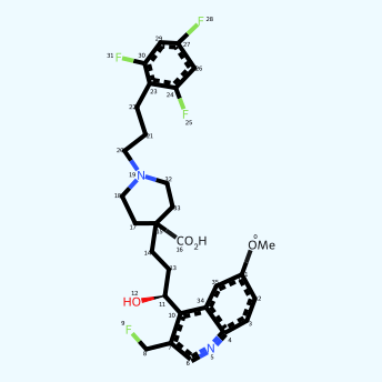 COc1ccc2ncc(CF)c([C@@H](O)CCC3(C(=O)O)CCN(CCCc4c(F)cc(F)cc4F)CC3)c2c1